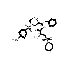 COc1ccc(S(=O)(=O)N(CC(C)C)C[C@@H](O)[C@H](Cc2ccccc2)NC(=O)[C@H](C)CS(=O)(=O)N2CCCCC2)cc1